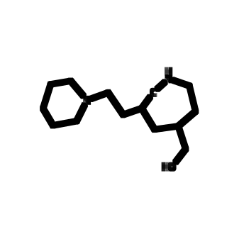 OCC1CCNCC(CCN2CCCCC2)C1